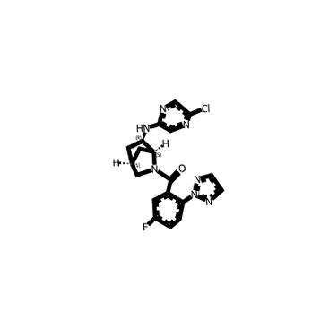 O=C(c1cc(F)ccc1-n1nccn1)N1C[C@H]2C[C@@H](Nc3cnc(Cl)cn3)[C@@H]1C2